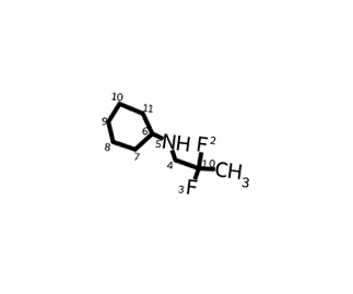 CC(F)(F)CNC1CCCCC1